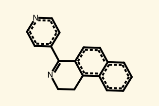 c1ccc2c3c(ccc2c1)C(c1ccncc1)=NCC3